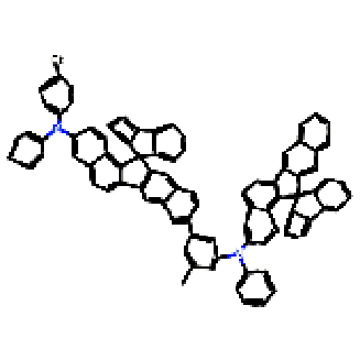 CCc1ccc(N(c2ccccc2)c2ccc3c4c(ccc3c2)-c2cc3cc(-c5cc(C)cc(N(c6ccccc6)c6ccc7c8c(ccc7c6)-c6cc7ccccc7cc6C86c7ccccc7-c7ccccc76)c5)ccc3cc2C42c3ccccc3-c3ccccc32)cc1